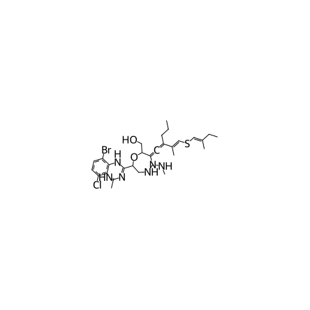 CCCC(=C=C1C(CO)OC(/C(=N/C(C)=N)Nc2cc(Cl)ccc2Br)CNN1NC)/C(C)=C/S/C=C(\C)CC